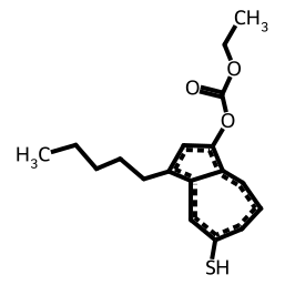 CCCCCc1cc(OC(=O)OCC)c2cccc(S)cc1-2